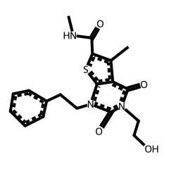 CNC(=O)c1sc2c(c1C)c(=O)n(CCO)c(=O)n2CCc1ccccc1